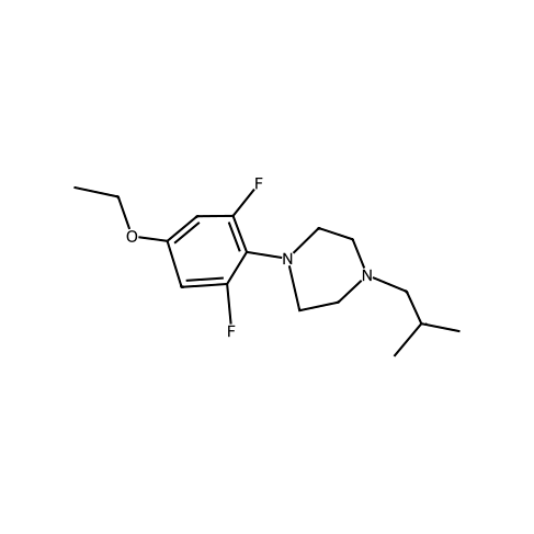 CCOc1cc(F)c(N2CCN(C[C](C)C)CC2)c(F)c1